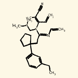 C=C/N=C(/CC1(c2cccc(CC)c2)CCCC1)N(CN(C)C)/C(C=C)=C(\C)C#N